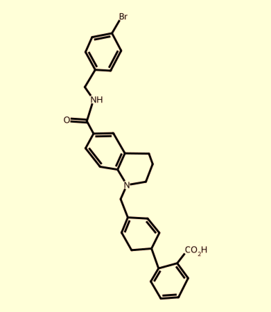 O=C(NCc1ccc(Br)cc1)c1ccc2c(c1)CCCN2CC1=CCC(c2ccccc2C(=O)O)C=C1